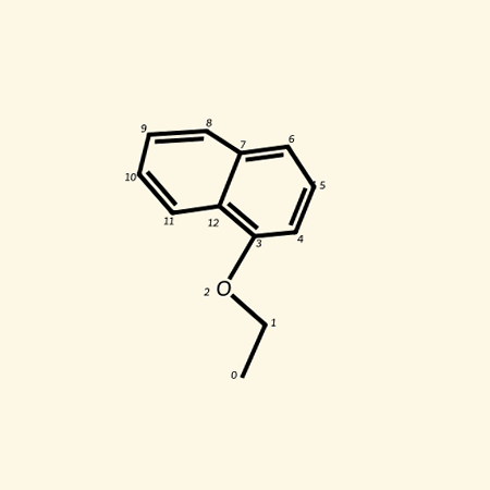 CCOc1c[c]cc2ccccc12